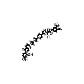 CC(C)(C(=O)Nc1ccc(C#N)c(C(F)(F)F)c1)n1cc(C2CCN(C3CN(C4CN(c5ccc6c(n5)CN(C5CCC(=O)NC5O)C6=O)C4)C3)CC2)cn1